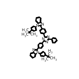 CC(C)(C)c1ccc(-n2c(-c3ccc(-c4nc(-c5ccccc5)nc(-c5ccc(-c6nc7ccccc7n6-c6ccc(C(C)(C)C)cc6)cc5)n4)cc3)nc3ccccc32)cc1